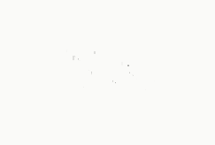 CCN[C@@H]1CN(C(C)CCC(C)N2C[C@@H](O)[C@H](NC(C)C)C2)C[C@H]1O